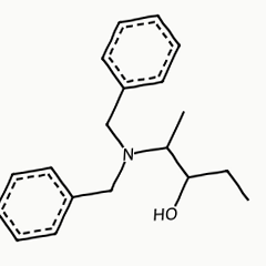 CCC(O)C(C)N(Cc1ccccc1)Cc1ccccc1